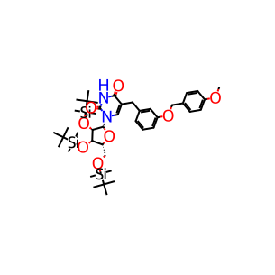 COc1ccc(COc2cccc(Cc3cn([C@@H]4O[C@H](CO[Si](C)(C)C(C)(C)C)[C@@H](O[Si](C)(C)C(C)(C)C)[C@H]4O[Si](C)(C)C(C)(C)C)c(=O)[nH]c3=O)c2)cc1